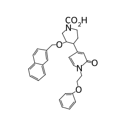 O=C(O)N1CCC(c2ccn(CCOc3ccccc3)c(=O)c2)C(OCc2ccc3ccccc3c2)C1